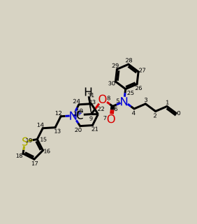 C=CCCCN(C(=O)O[C@H]1C[N+]2(CCCc3cccs3)CCC1CC2)c1ccccc1